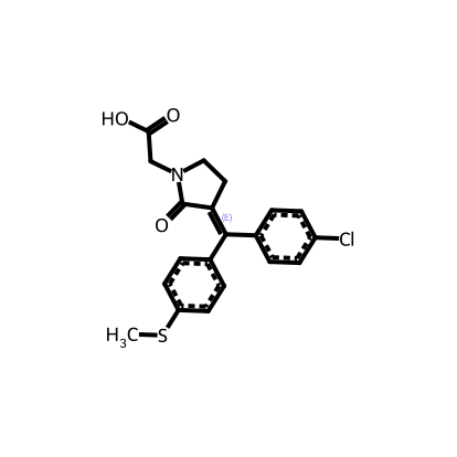 CSc1ccc(/C(=C2/CCN(CC(=O)O)C2=O)c2ccc(Cl)cc2)cc1